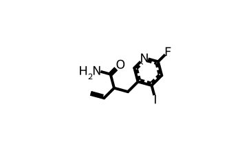 C=CC(Cc1cnc(F)cc1I)C(N)=O